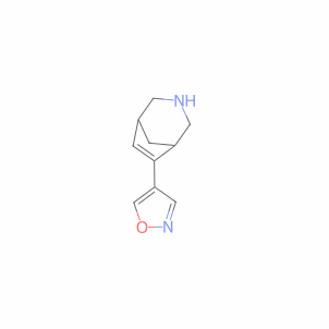 C1=C(c2cnoc2)C2CNCC1C2